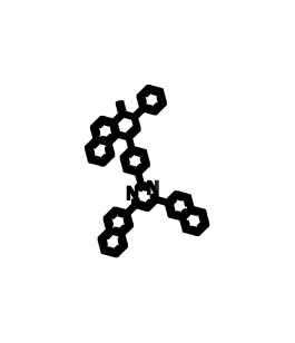 C=C1c2ccc3ccccc3c2C(c2ccc(-c3nc(-c4ccc5ccccc5c4)cc(-c4ccc5ccccc5c4)n3)cc2)=CC1c1ccccc1